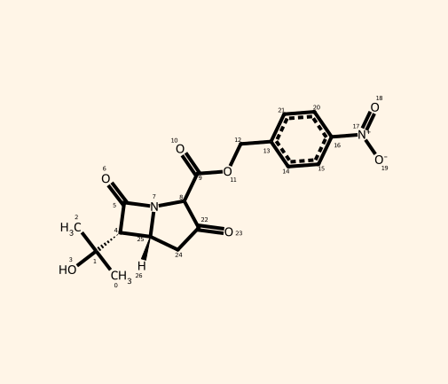 CC(C)(O)[C@@H]1C(=O)N2C(C(=O)OCc3ccc([N+](=O)[O-])cc3)C(=O)C[C@H]12